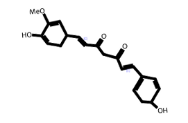 COC1=CC(/C=C/C(=O)CC(=O)/C=C/C2=CCC(O)C=C2)CC=C1O